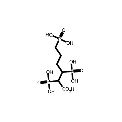 O=C(O)C(C(CCCP(=O)(O)O)P(=O)(O)O)P(=O)(O)O